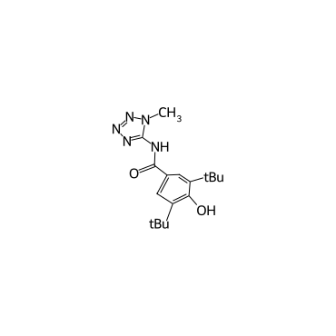 Cn1nnnc1NC(=O)c1cc(C(C)(C)C)c(O)c(C(C)(C)C)c1